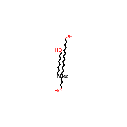 CCCCCCCCCCCCCCCCCCO.OCCCCCCCCCCCCCCCCCCO